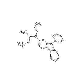 CCCN(c1ccc2c3ccccc3n(-c3ccccc3)c2c1)C(C)CC